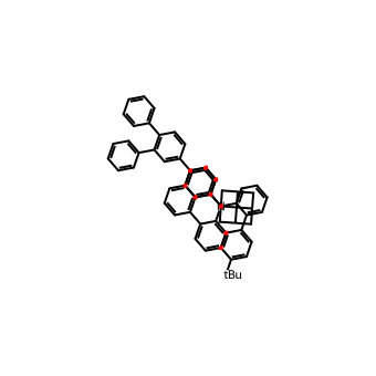 CC(C)(C)c1ccc(-c2ccccc2N(c2ccc(-c3ccc(-c4ccccc4)c(-c4ccccc4)c3)cc2)c2ccccc2-c2cccc3cccc(C45CC6CC7CC(C4)C765)c23)cc1